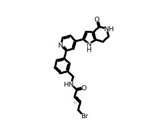 O=C(/C=C/CBr)NCc1cccc(-c2cc(-c3cc4c([nH]3)CCNC4=O)ccn2)c1